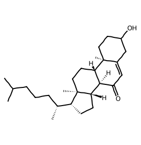 CC(C)CCC[C@@H](C)[C@H]1CC[C@H]2[C@@H]3C(=O)C=C4CC(O)CC[C@]4(C)[C@H]3CC[C@]12C